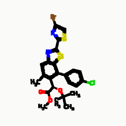 COC(=O)[C@@H](OC(C)(C)C)c1c(C)cc2nc(-c3nc(Br)cs3)sc2c1-c1ccc(Cl)cc1